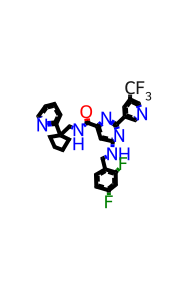 O=C(NCC1(c2ccccn2)CCCC1)c1cc(NCc2ccc(F)cc2F)nc(-c2cncc(C(F)(F)F)c2)n1